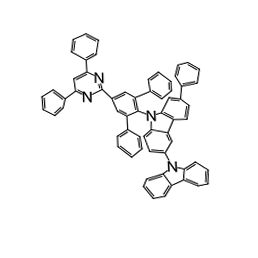 c1ccc(-c2ccc3c4cc(-n5c6ccccc6c6ccccc65)ccc4n(-c4c(-c5ccccc5)cc(-c5nc(-c6ccccc6)cc(-c6ccccc6)n5)cc4-c4ccccc4)c3c2)cc1